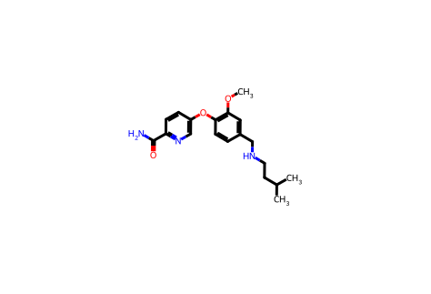 COc1cc(CNCCC(C)C)ccc1Oc1ccc(C(N)=O)nc1